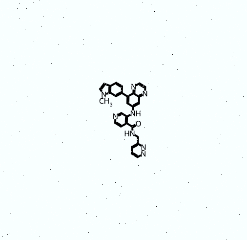 Cn1ccc2ccc(-c3cc(Nc4cnccc4C(=O)NCc4cccnn4)cc4nccnc34)cc21